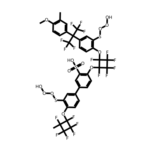 COc1ccc(C(c2ccc(OC3(F)C(F)(F)C(F)(F)C3(F)Oc3ccc(-c4ccc(OC5(F)C(C)(F)C(F)(F)C5(F)F)c(SOOO)c4)cc3S(=O)(=O)O)c(SOOO)c2)(C(F)(F)F)C(F)(F)F)cc1C